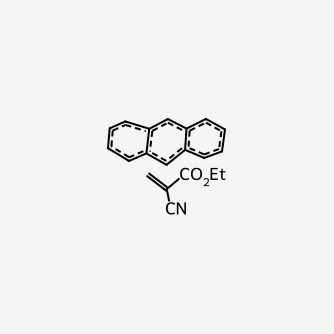 C=C(C#N)C(=O)OCC.c1ccc2cc3ccccc3cc2c1